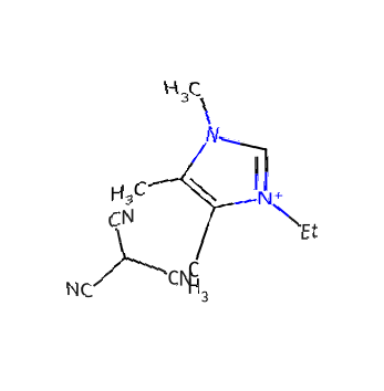 CC[n+]1cn(C)c(C)c1C.N#CC(C#N)C#N